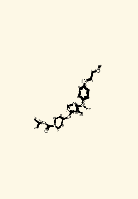 COCCNc1ccc(N(F)c2ncnc(OC3CCN(C(=O)OC(C)C)CC3)c2C)cc1